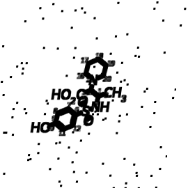 CC(NS(=O)(=O)c1ccc(O)cc1)C(C(=O)O)N1CCCCC1